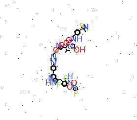 Cc1ncsc1-c1ccc(CNC(=O)[C@@H]2C[C@@H](O)CN2C(=O)[C@H](c2cc(OCCN3CCN(c4ccc(-c5cnc6[nH]cc(Cc7c(F)ccc(NS(=O)(=O)N8CC[C@@H](F)C8)c7F)c6c5)cc4)CC3)no2)C(C)C)cc1